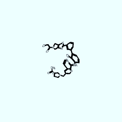 O=C(O)[C@@H]1CCN(Cc2cnc3c(Nc4cccc(-c5cccc(-c6nc7c(s6)CN(C(=O)CCl)C7)c5)c4Cl)nccc3c2)C1